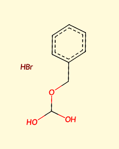 Br.OC(O)OCc1ccccc1